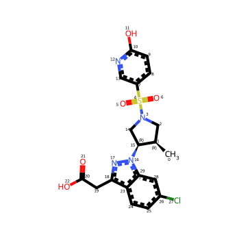 C[C@@H]1CN(S(=O)(=O)c2ccc(O)nc2)C[C@@H]1n1nc(CC(=O)O)c2ccc(Cl)cc21